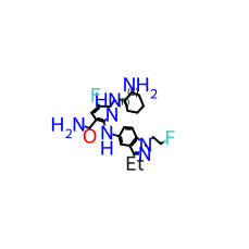 CCc1nn(CCF)c2ccc(Nc3nc(N[C@@H]4CCCC[C@@H]4N)c(F)cc3C(N)=O)cc12